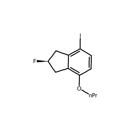 CCCOc1ccc(I)c2c1C[C@@H](F)C2